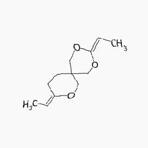 CC=C1CCC2(CO1)COC(=CC)OC2